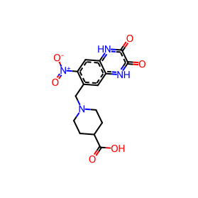 O=C(O)C1CCN(Cc2cc3[nH]c(=O)c(=O)[nH]c3cc2[N+](=O)[O-])CC1